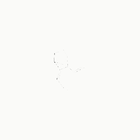 N=CC1/C(=C\N)C2CCC1C2